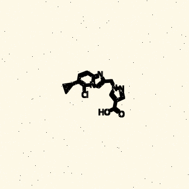 O=C(O)c1cnn(Cc2cn3c(Cl)c(C4CC4)ccc3n2)c1